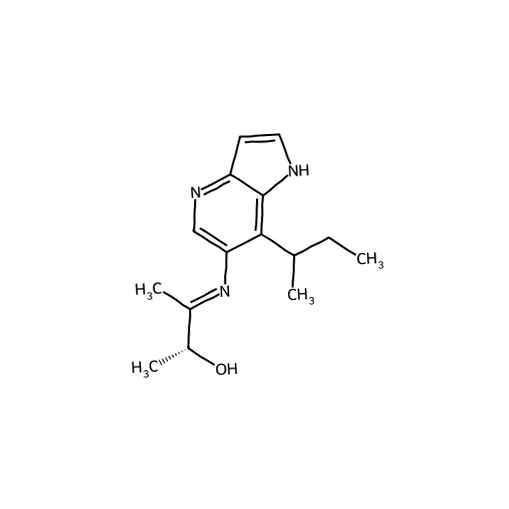 CCC(C)c1c(/N=C(\C)[C@@H](C)O)cnc2cc[nH]c12